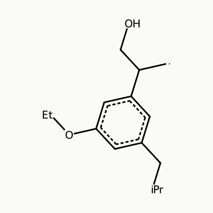 [CH2]C(CO)c1cc(CC(C)C)cc(OCC)c1